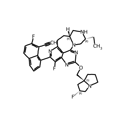 C#Cc1c(F)ccc2cccc(-c3nc4c5c(nc(OC[C@@]67CCCN6C[C@H](F)C7)nc5c3F)N3C[C@@H](CC)NC[C@H]3CC4)c12